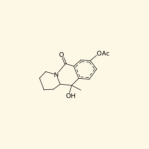 CC(=O)Oc1ccc2c(c1)C(=O)N1CCCCC1C2(C)O